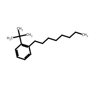 CCCCCCCCc1[c][c]ccc1C(C)(C)C